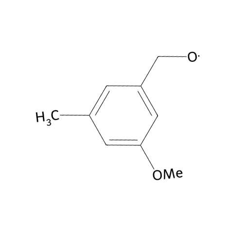 COc1cc(C)cc(C[O])c1